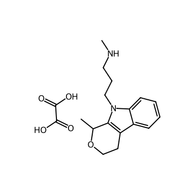 CNCCCn1c2c(c3ccccc31)CCOC2C.O=C(O)C(=O)O